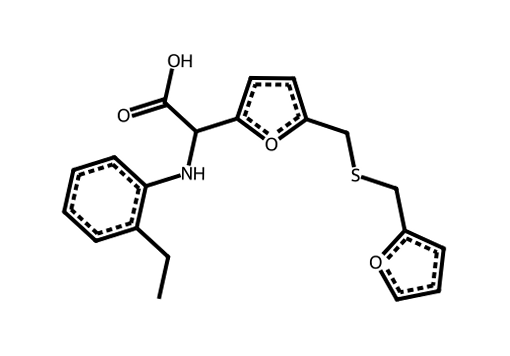 CCc1ccccc1NC(C(=O)O)c1ccc(CSCc2ccco2)o1